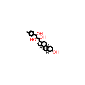 Cc1ccc([C@@H](O)[C@H](O)[C@@H](O)[C@H]2CC[C@H]3[C@@H]4CC[C@H]5C[C@@H](O)CC[C@]5(C)[C@H]4CC[C@]23C)cc1